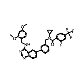 COc1ccc(CNc2ncnc3ccc(-c4cccc(CN(C(=O)c5ccc(C(F)(F)F)cc5F)C5CC5)c4)cc23)c(OC)c1